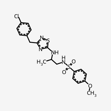 COc1ccc(S(=O)(=O)NCC(C)Nc2nc(Cc3ccc(Cl)cc3)ns2)cc1